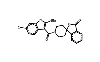 CC(C)(C)C1=C(C(=O)N2CCC3(CC2)OC(=O)c2ccccc23)c2ccc(Cl)cc2[N]1